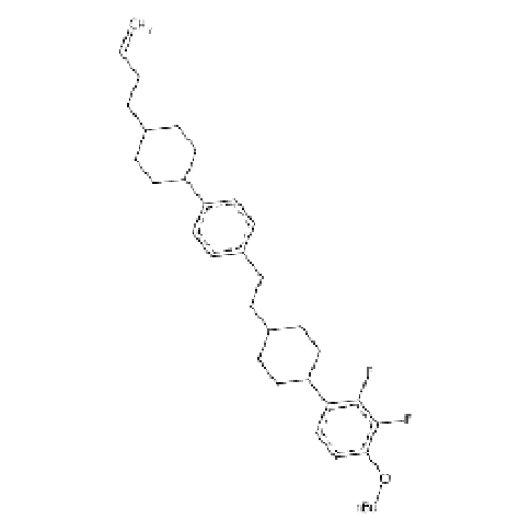 C=CCCC1CCC(c2ccc(CCC3CCC(c4ccc(OCCCC)c(F)c4F)CC3)cc2)CC1